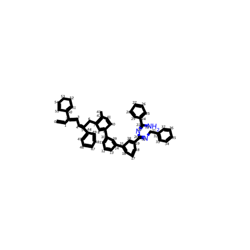 C=C/C(=C\C=C(/Cc1cc(-c2cccc(-c3cccc(C(/N=C(\N)c4ccccc4)=N/Cc4ccccc4)c3)c2)ccc1C)c1ccccc1)C1=CCCC=C1